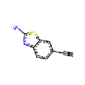 C#Cc1ccc2nc(N)sc2c1